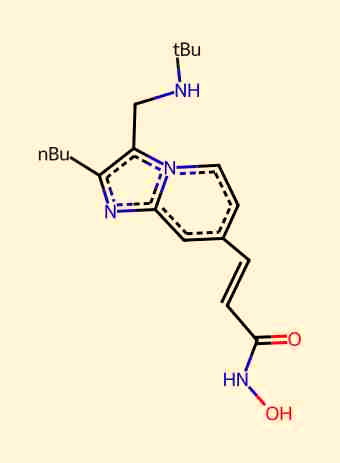 CCCCc1nc2cc(C=CC(=O)NO)ccn2c1CNC(C)(C)C